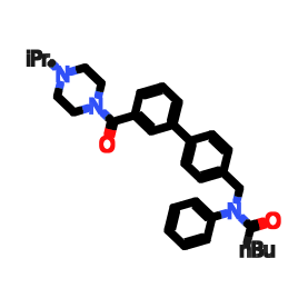 CCCCC(=O)N(Cc1ccc(-c2cccc(C(=O)N3CCN(C(C)C)CC3)c2)cc1)c1ccccc1